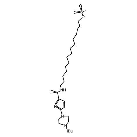 CCC(C)N1CCN(c2ccc(C(=O)NCCCCCCCCCCCCCCCOS(C)(=O)=O)cn2)CC1